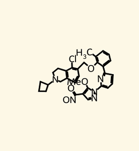 COc1c(C(=O)N=O)cnn1-c1cccc(-c2cccc(C)c2OCc2ccc3c(c2Cl)CCN(C2CCC2)C3)n1